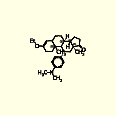 CCOC1=CC2CC[C@@H]3C([C@@H](c4ccc(N(C)C)cc4)C[C@]4(C)C(=O)CC[C@@H]34)[C@]2(C)CC1